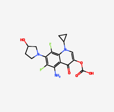 Nc1c(F)c(N2CCC(O)C2)c(F)c2c1c(=O)c(OC(=O)O)cn2C1CC1